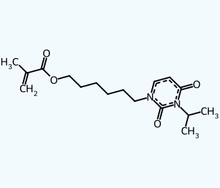 C=C(C)C(=O)OCCCCCCn1ccc(=O)n(C(C)C)c1=O